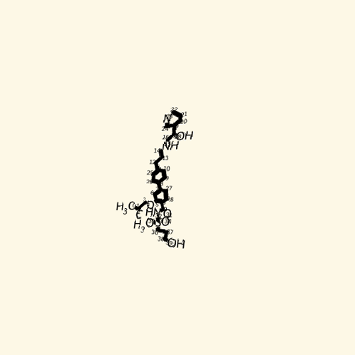 CC(C)COc1cc(-c2ccc(CCCNC[C@@H](O)c3cccnc3)cc2)ccc1C(=O)NS(=O)(=O)CCCO